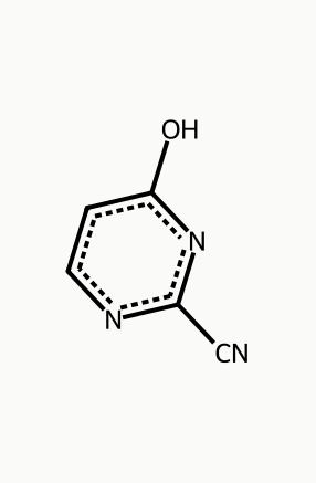 N#Cc1nccc(O)n1